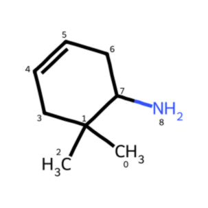 CC1(C)CC=CCC1N